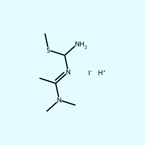 CSC(N)/N=C(\C)N(C)C.[H+].[I-]